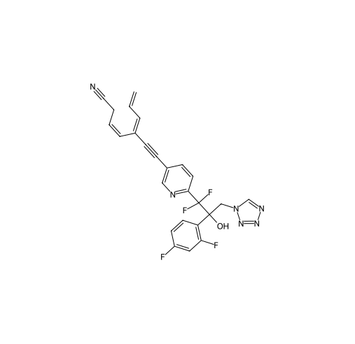 C=C/C=C(C#Cc1ccc(C(F)(F)C(O)(Cn2cnnn2)c2ccc(F)cc2F)nc1)\C=C/CC#N